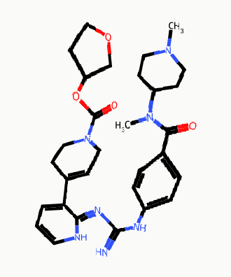 CN1CCC(N(C)C(=O)c2ccc(NC(=N)/N=c3\[nH]cccc3C3=CCN(C(=O)OC4CCOC4)CC3)cc2)CC1